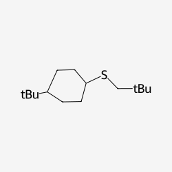 CC(C)(C)CSC1CCC(C(C)(C)C)CC1